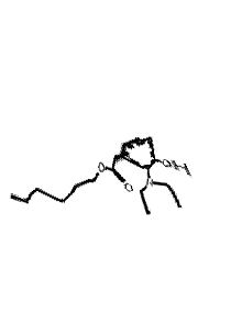 CCCCCCOC(=O)c1cccc(O)c1N(CC)CC